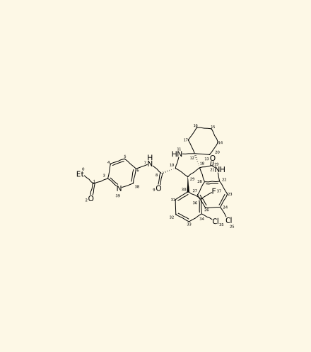 CCC(=O)c1ccc(NC(=O)[C@@H]2NC3(CCCCC3)[C@@]3(C(=O)Nc4cc(Cl)ccc43)[C@H]2c2cccc(Cl)c2F)cn1